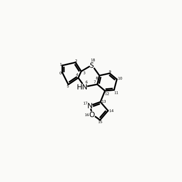 c1ccc2c(c1)Nc1c(cccc1-c1ccon1)S2